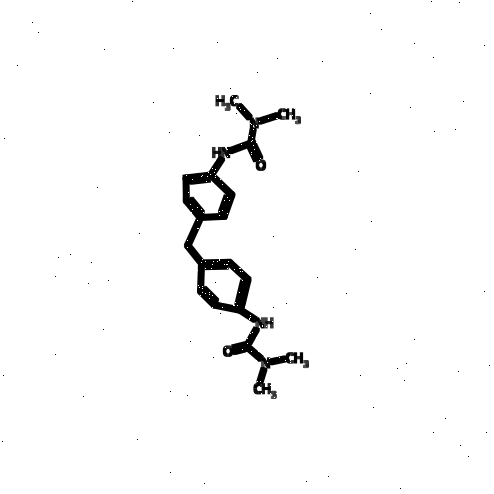 CN(C)C(=O)Nc1ccc(Cc2ccc(NC(=O)N(C)C)cc2)cc1